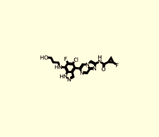 O=C(Nc1cn2cc(-c3c(Cl)c(F)c(NCCCO)c4[nH]ncc34)ncc2n1)C1CC1F